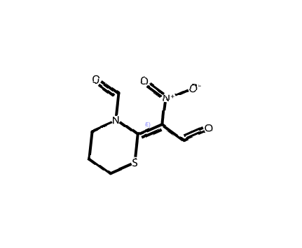 O=C/C(=C1\SCCCN1C=O)[N+](=O)[O-]